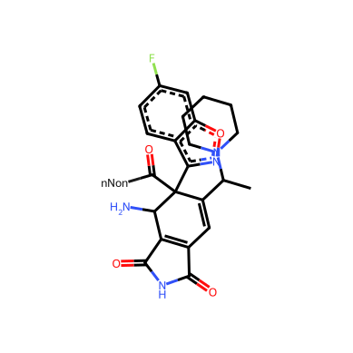 CCCCCCCCCC(=O)C1(c2noc3cc(F)ccc23)C(C(C)N2CCCCC2)=CC2=C(C(=O)NC2=O)C1N